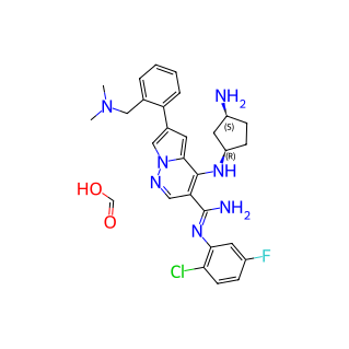 CN(C)Cc1ccccc1-c1cc2c(N[C@@H]3CC[C@H](N)C3)c(C(N)=Nc3cc(F)ccc3Cl)cnn2c1.O=CO